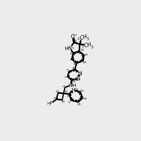 CC1(C)C(=O)Nc2cc(-c3ccc(NCC4(c5ccccn5)CC(F)C4)nn3)ccc21